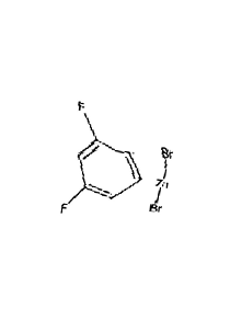 Fc1[c]ccc(F)c1.[Br][Zn][Br]